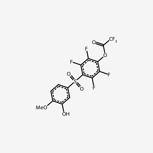 COc1ccc(S(=O)(=O)c2c(F)c(F)c(OC(=O)C(F)(F)F)c(F)c2F)cc1O